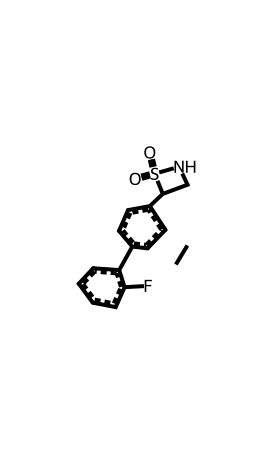 CC.O=S1(=O)NCC1c1ccc(-c2ccccc2F)cc1